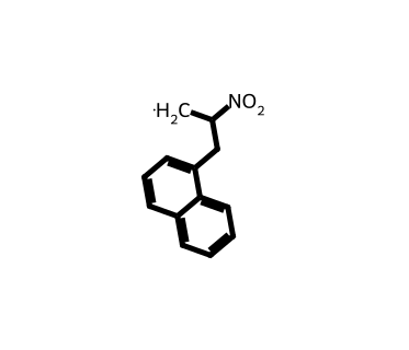 [CH2]C(Cc1cccc2ccccc12)[N+](=O)[O-]